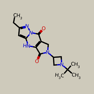 CCc1cc2[nH]c3c(c(=O)n2n1)CN(C1CN(C(C)(C)C)C1)C3=O